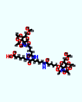 CC(=O)NC1C(OCCCCC(=O)NCCCC[C@H](NC(=O)CCCCOC2OC(COC(C)=O)C(OC(C)=O)C(OC(C)=O)C2N)C(=O)NCCCCCC(=O)O)OC(COC(C)=O)C(OC(C)=O)C1OC(C)=O